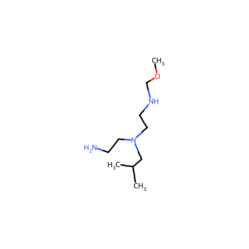 COCNCCN(CCN)CC(C)C